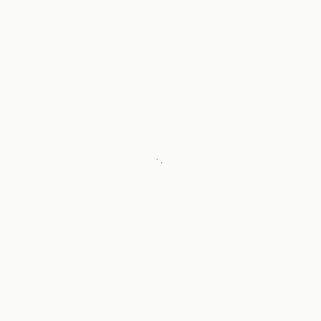 O=C(NC1CCC(O)CC1)c1cccc(F)c1